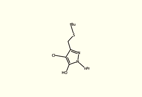 CCCn1nc(CSC(C)(C)C)c(Cl)c1O